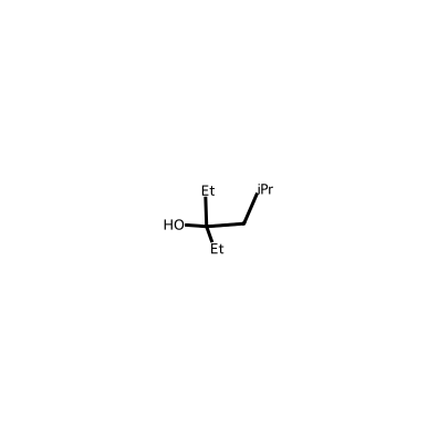 CCC(O)(CC)CC(C)C